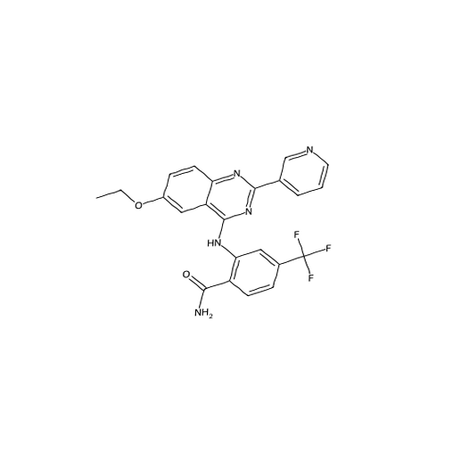 CCOc1ccc2nc(-c3cccnc3)nc(Nc3cc(C(F)(F)F)ccc3C(N)=O)c2c1